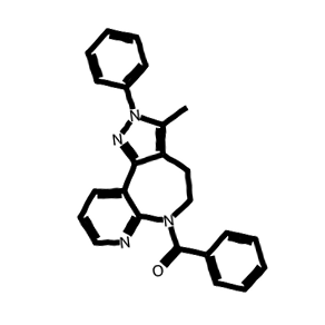 Cc1c2c(nn1-c1ccccc1)-c1cccnc1N(C(=O)c1ccccc1)CC2